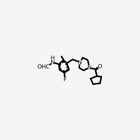 Cc1c(CN2CCN(C(=O)C3CCCC3)CC2)cc(F)cc1NC=O